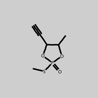 C#CC1OP(=O)(SC)OC1C